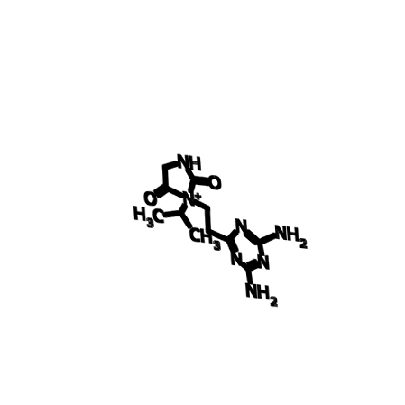 CC(C)[N+]1(CCc2nc(N)nc(N)n2)C(=O)CNC1=O